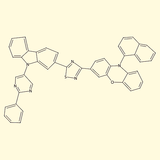 c1ccc(-c2ncc(-n3c4ccccc4c4ccc(-c5nc(-c6ccc7c(c6)Oc6ccccc6N7c6cccc7ccccc67)ns5)cc43)cn2)cc1